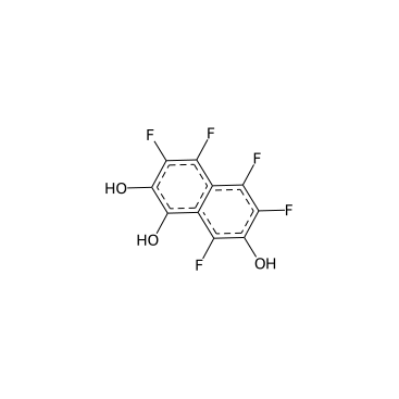 Oc1c(F)c(F)c2c(F)c(F)c(O)c(F)c2c1O